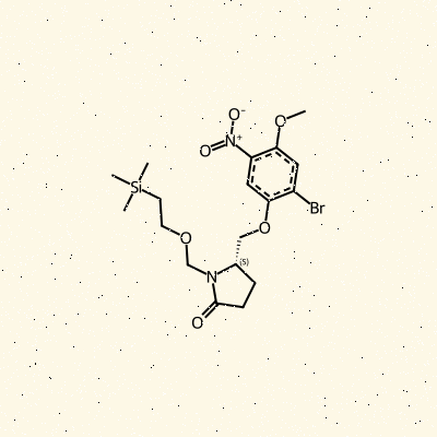 COc1cc(Br)c(OC[C@@H]2CCC(=O)N2COCC[Si](C)(C)C)cc1[N+](=O)[O-]